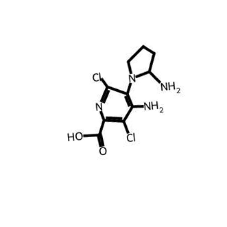 Nc1c(Cl)c(C(=O)O)nc(Cl)c1N1CCCC1N